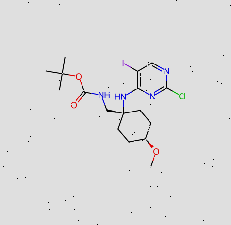 CO[C@H]1CC[C@](CNC(=O)OC(C)(C)C)(Nc2nc(Cl)ncc2I)CC1